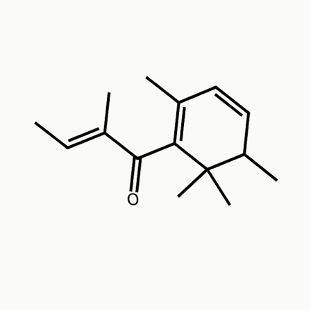 C/C=C(\C)C(=O)C1=C(C)C=CC(C)C1(C)C